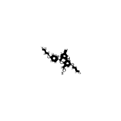 C=C1C[C@@H]2[C@H](C1)c1cc(OCCCC)cc(COC)c1O[C@@H]2c1ccc(OCCCC)cc1